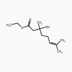 CCOC(=O)CC(C)(O)CCC=C(C)C